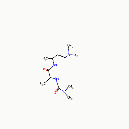 CC(=O)N(C)CCC(C)NC(=O)C(C)NC(=O)N(C)C